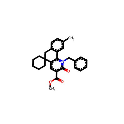 COC(=O)c1cc2c(n(Cc3ccccc3)c1=O)-c1cc(C)ccc1CC21CCCCC1